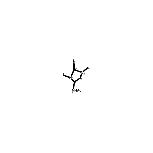 CC(=O)NC1CN(C)C(=S)N1C